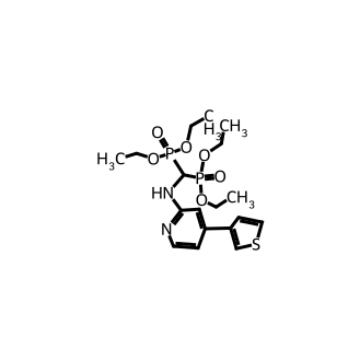 CCOP(=O)(OCC)C(Nc1cc(-c2ccsc2)ccn1)P(=O)(OCC)OCC